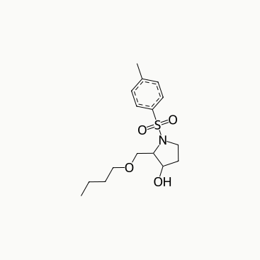 CCCCOCC1C(O)CCN1S(=O)(=O)c1ccc(C)cc1